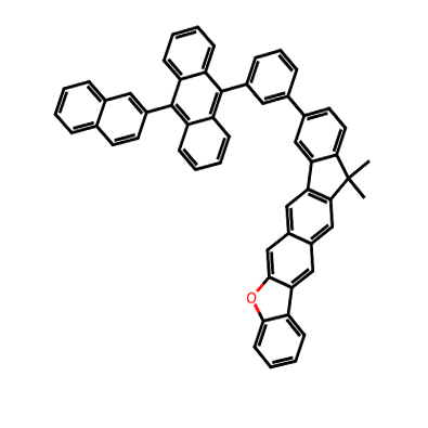 CC1(C)c2ccc(-c3cccc(-c4c5ccccc5c(-c5ccc6ccccc6c5)c5ccccc45)c3)cc2-c2cc3cc4oc5ccccc5c4cc3cc21